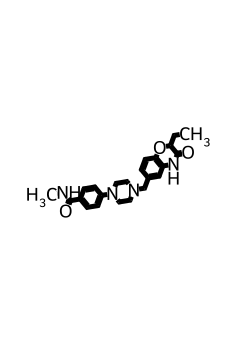 CCC1Oc2ccc(CN3CCN(c4ccc(C(=O)NC)cc4)CC3)cc2NC1=O